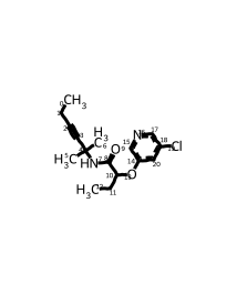 CCC#CC(C)(C)NC(=O)C(CC)Oc1cncc(Cl)c1